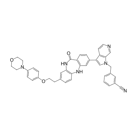 N#Cc1cccc(Cn2cc(-c3ccc4c(c3)Nc3ccc(CCOc5ccc(N6CCOCC6)cc5)cc3NC4=O)c3ccncc32)c1